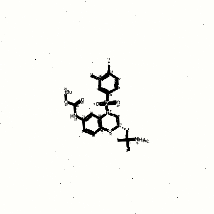 CC(=O)NC(C)(C)C[C@H]1CN(S(=O)(=O)c2ccc(F)c(C)c2)c2cc(NC(=O)OC(C)(C)C)ccc2O1